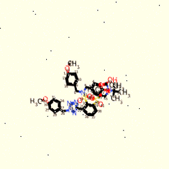 COc1ccc(CN(Cc2ccc(OC)cc2)S(=O)(=O)c2c(-c3nnn(Cc4ccc(OC)cc4)n3)cccc2S(=O)(=O)[C@H](C)CN(C(=O)O)C(C)(C)C)cc1